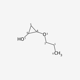 CCCO[C]1CC1O